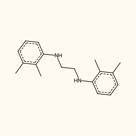 Cc1cccc(NCCNc2cccc(C)c2C)c1C